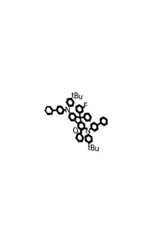 CC(C)(C)c1ccc(N(c2ccc(C3=CCCC=C3)cc2)c2ccc3c(c2)C(c2ccccc2)(c2cccc(F)c2)c2cc(N(c4ccc(-c5ccccc5)cc4)c4ccc(C(C)(C)C)cc4)c4c(oc5ccccc54)c2-3)cc1